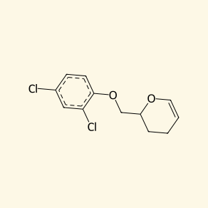 Clc1ccc(OCC2CCC=CO2)c(Cl)c1